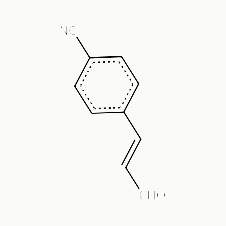 N#Cc1ccc(/C=C/C=O)cc1